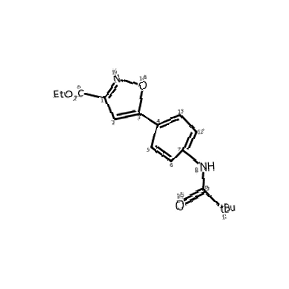 CCOC(=O)c1cc(-c2ccc(NC(=O)C(C)(C)C)cc2)on1